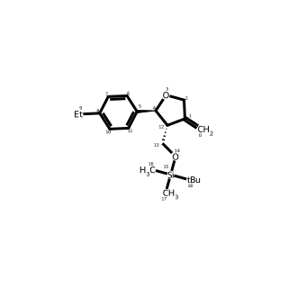 C=C1CO[C@H](c2ccc(CC)cc2)[C@H]1CO[Si](C)(C)C(C)(C)C